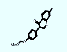 COCOc1ccc(C2COc3cc(C)ccc3C2=O)cc1